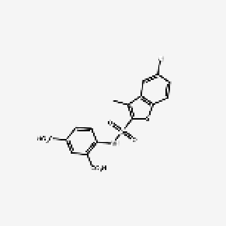 Cc1c(S(=O)(=O)Nc2ccc(C(=O)O)cc2C(=O)O)sc2ccc(Cl)cc12